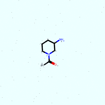 CC(C)C(=O)N1CCCC(N)C1